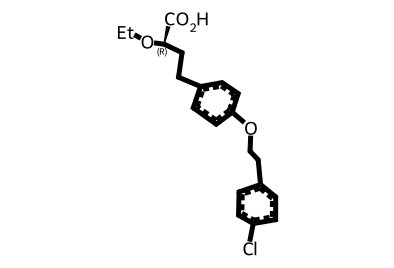 CCO[C@H](CCc1ccc(OCCc2ccc(Cl)cc2)cc1)C(=O)O